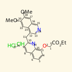 CCOC(=O)COc1cccc2ccc(Cc3cncc4cc(OC)c(OC)cc34)nc12.Cl.Cl